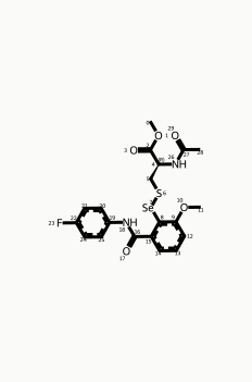 COC(=O)[C@H](CS[Se]c1c(OC)cccc1C(=O)Nc1ccc(F)cc1)NC(C)=O